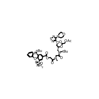 CCCCNc1cc(C(=O)OCC(=O)N(C)CC(=O)N(C[C@@H](COc2nsnc2N2CCOCC2)OC(=O)COC(C)=O)C(C)(C)C)cc(S(N)(=O)=O)c1Oc1ccccc1